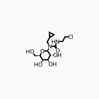 O=C(NCCCl)N(CC1CC1)[C@@H]1O[C@H](CO)[C@H](O)[C@H](O)[C@H]1O